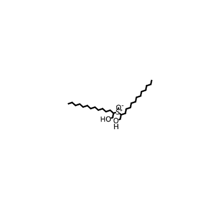 CCCCCCCCCCCCC(CO)[S+]([O-])C(CO)CCCCCCCCCCCC